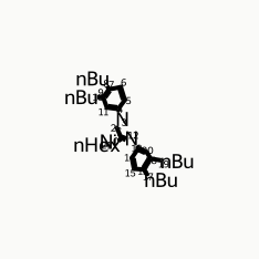 CCCCCCC(C=Nc1ccc(CCCC)c(CCCC)c1)=Nc1ccc(CCCC)c(CCCC)c1.[Ni]